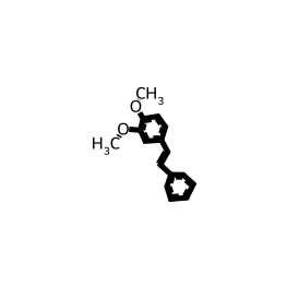 COc1ccc(/C=C/c2ccccc2)cc1OC